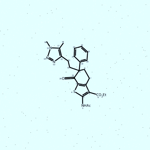 CCOC(=O)c1c(NC(C)=O)sc2c1CCC(CCc1nnn(C)c1C)(c1ccccc1)C2=O